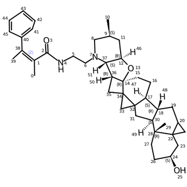 C/C(C(=O)NCCN1C[C@@H](C)C[C@H]2O[C@@]34CC[C@H]5[C@@H]6CC7CC78C[C@@H](O)CC[C@]8(C)[C@H]6CC56CC63C[C@@H]4[C@@H]21)=C(\C)c1ccccc1